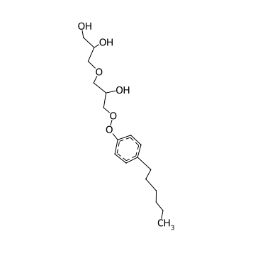 CCCCCCc1ccc(OOCC(O)COCC(O)CO)cc1